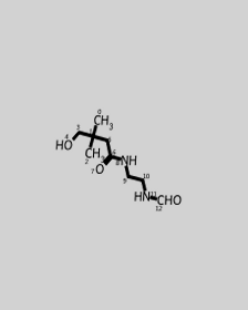 CC(C)(CO)CC(=O)NCCNC=O